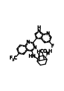 O=C(O)[C@H]1C2CCC(CC2)[C@@H]1Nc1nc(-c2c[nH]c3ncc(F)cc23)nc2ccc(C(F)(F)F)cc12